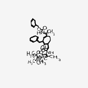 COC(=O)[C@@H](NC(=O)[C@@H](NC(=O)CC1CCC([C@H](C)NC(=O)OCc2ccccc2)=CC(Cc2ccccc2)C1O)C(C)C)C(C)C